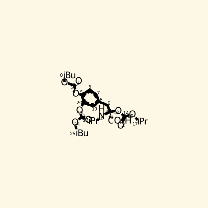 CCC(C)OC(=O)Oc1ccc(C[C@](NC(C)C)(OC(=O)OC(C)C)C(=O)O)cc1OC(=O)OC(C)CC